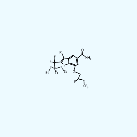 CCOP(=O)(OCC)C(F)(F)c1sc2c(OCC(F)CC(F)(F)F)cc(C(N)=O)cc2c1Br